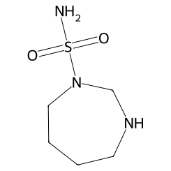 NS(=O)(=O)N1CCCCNC1